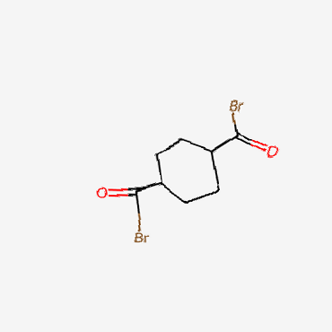 O=C(Br)C1CCC(C(=O)Br)CC1